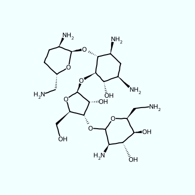 NC[C@@H]1CC[C@@H](N)[C@@H](O[C@H]2[C@H](O[C@@H]3O[C@H](CO)[C@@H](OC4O[C@@H](CN)[C@@H](O)[C@H](O)[C@H]4N)[C@H]3O)[C@@H](O)[C@H](N)C[C@@H]2N)O1